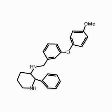 COc1ccc(Oc2cccc(CNC3CCCNC3c3ccccc3)c2)cc1